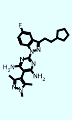 Cc1nn(C)c(C)c1-c1c(N)nc(-n2nc(CCC3CCCC3)c3cc(F)ccc32)nc1N